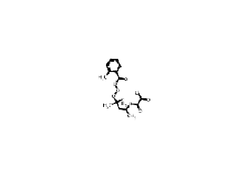 Cc1ccccc1C(=O)OOOC(C)(C)CC(C)OC(=O)C(=O)Cl